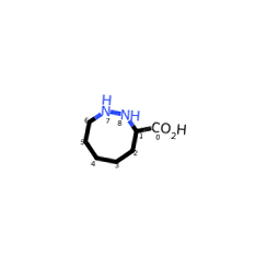 O=C(O)C1CCCCCNN1